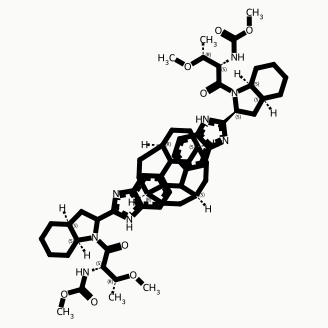 COC(=O)N[C@H](C(=O)N1C(c2nc3cc(C4C[C@H]5CC[C@@H]4CC[C@@H]4CC[C@H](CC5)C(c5ccc6[nH]c([C@@H]7C[C@@H]8CCCC[C@@H]8N7C(=O)[C@@H](NC(=O)OC)[C@@H](C)OC)nc6c5)C4)ccc3[nH]2)C[C@@H]2CCCC[C@@H]21)[C@@H](C)OC